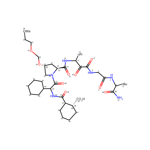 CCCCC(NC(=O)CNC(=O)C(=O)C(CCC)NC(=O)[C@@H]1C[C@@H](OCOCCOC)CN1C(=O)C(NC(=O)C1CCCC[C@H]1C(=O)O)C1CCCCC1)C(N)=O